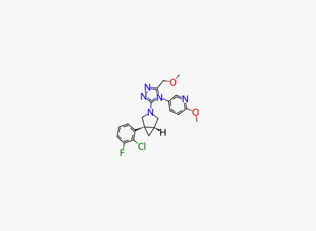 COCc1nnc(N2C[C@@H]3C[C@]3(c3cccc(F)c3Cl)C2)n1-c1ccc(OC)nc1